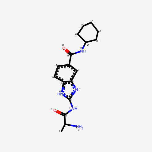 CC(N)C(=O)Nc1nc2cc(C(=O)NC3CCCCC3)ccc2[nH]1